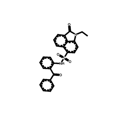 CCN1C(=O)c2cccc3c(S(=O)(=O)Nc4ccccc4C(=O)c4ccccc4)ccc1c23